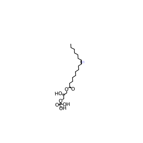 CCCCCC/C=C\CCCCCCCC(=O)OC[C@@H](O)COP(=O)(O)O